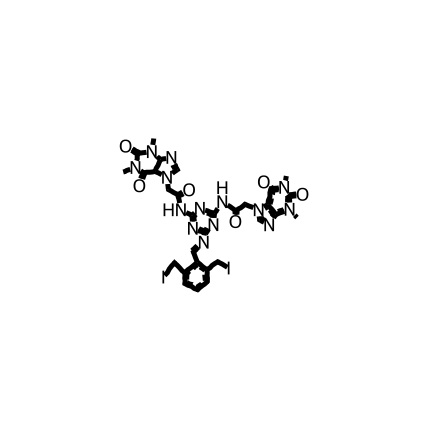 CN1C(=O)C2C(N=CN2CC(=O)Nc2nc(N=Cc3c(CI)cccc3CI)nc(NC(=O)Cn3cnc4c3c(=O)n(C)c(=O)n4C)n2)N(C)C1=O